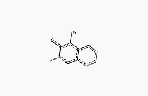 CC(C)c1c(=O)n(C)cc2ccccc12